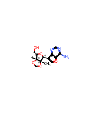 C[C@@]12OCO[C@@H]1[C@@H](CO)O[C@H]2c1coc2c(N)ncnc12